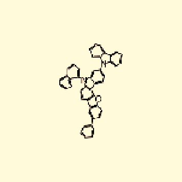 c1ccc(-c2ccc3oc4c(ccc5c4c4ccc(-n6c7ccccc7c7ccccc76)cc4n5-c4cccc5ccccc45)c3c2)cc1